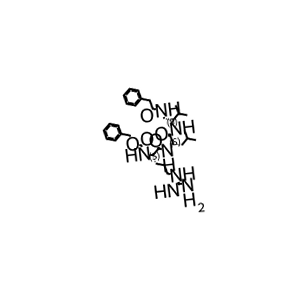 CC(C)C[C@H](NC(=O)[C@H](CCCNC(=N)N)NC(=O)OCc1ccccc1)C(=O)N[C@H](CNC(=O)Cc1ccccc1)C(C)C